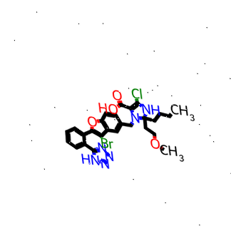 CCCCC1(CCOC)NC(Cl)=C(C(=O)O)N1Cc1ccc2oc(-c3ccccc3-c3nnn[nH]3)c(Br)c2c1